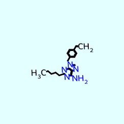 C=Cc1ccc(Cn2cnc3c(N)nc(CCCCC)nc32)cc1